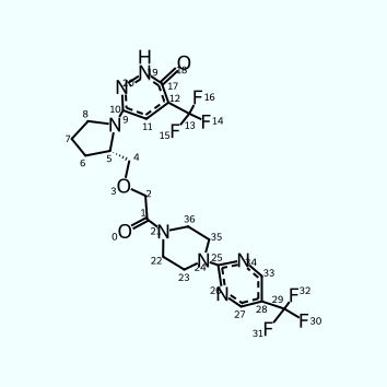 O=C(COC[C@@H]1CCCN1c1cc(C(F)(F)F)c(=O)[nH]n1)N1CCN(c2ncc(C(F)(F)F)cn2)CC1